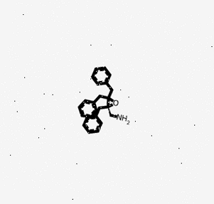 NC[C@]1(Cc2ccccc2)OC1(Cc1ccccc1)Cc1ccccc1